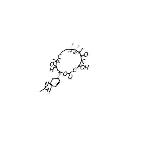 Cc1nc2cc([C@@H]3C[C@@H]4O[C@]4(C)CCC[C@H](C)[C@H](C)[C@@H](C)C(=O)C(C)(C)[C@@H](O)CC(=O)O3)ccc2n1C